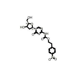 O=C(Nc1ncn([C@H]2CC(O)[C@@H](CO)O2)c(=O)n1)OCCc1ccc([N+](=O)[O-])cc1